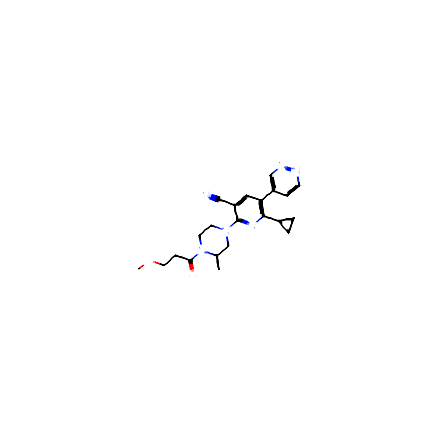 COCCC(=O)N1CCN(c2nc(C3CC3)c(-c3c[c]nnc3)cc2C#N)CC1C